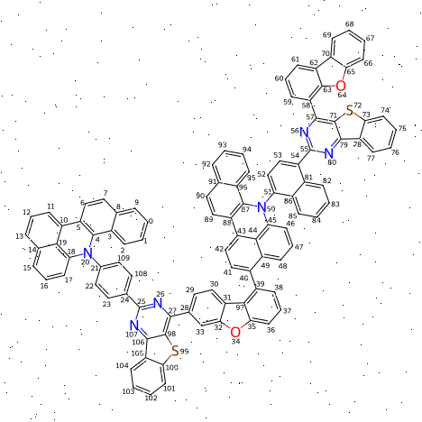 c1ccc2c3c(ccc2c1)-c1cccc2cccc(c12)N3c1ccc(-c2nc(-c3ccc4c(c3)oc3cccc(-c5ccc6c7c(cccc57)N(c5ccc(-c7nc(-c8cccc9c8oc8ccccc89)c8sc9ccccc9c8n7)c7ccccc57)c5c-6ccc6ccccc56)c34)c3sc4ccccc4c3n2)cc1